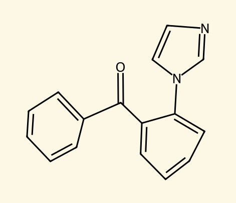 O=C(c1ccccc1)c1ccccc1-n1ccnc1